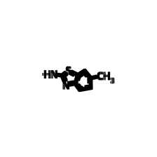 Cc1ccc2nc([NH])sc2c1